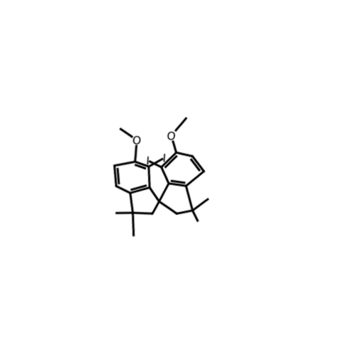 COc1ccc2c(c1I)C1(CC2(C)C)CC(C)(C)c2ccc(OC)c(I)c21